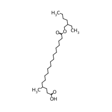 CCCCC(CC)COC(=O)CCCCCCCCCCCCCCC(C)CCC(=O)O